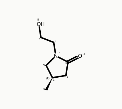 C[C@@H]1CC(=O)N(CCO)C1